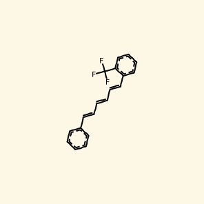 FC(F)(F)c1ccccc1C=CC=CC=Cc1ccccc1